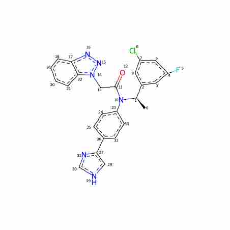 C[C@H](c1cc(F)cc(Cl)c1)N(C(=O)Cn1nnc2ccccc21)c1ccc(-c2c[nH]cn2)cc1